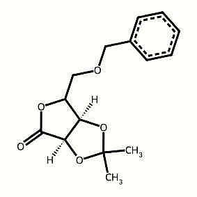 CC1(C)O[C@@H]2C(COCc3ccccc3)OC(=O)[C@@H]2O1